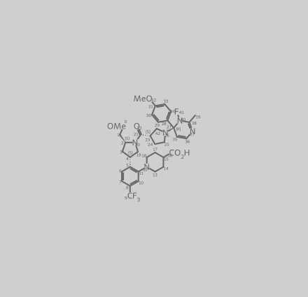 COC[C@@H]1C[C@@H](c2ccc(C(F)(F)F)cc2N2CCC(C(=O)O)CC2)CN1C(=O)[C@H]1CCN([C@]2(c3ccc(OC)cc3)C=CN=C(C)N2F)C1